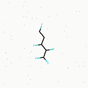 FCCC(F)C(F)C(F)F